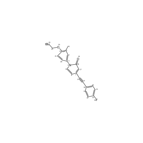 Cc1cc(-n2ccc(C#Cc3ccc(F)cc3)cc2=O)ccc1OCC(C)(C)C